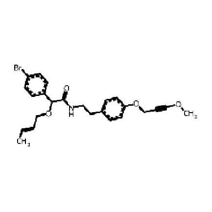 CC=CCOC(C(=O)NCCc1ccc(OCC#COC)cc1)c1ccc(Br)cc1